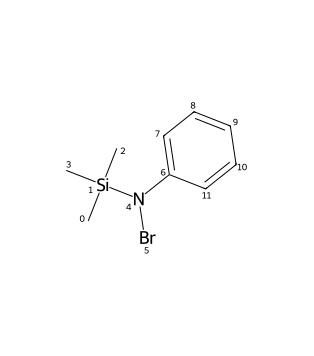 C[Si](C)(C)N(Br)c1ccccc1